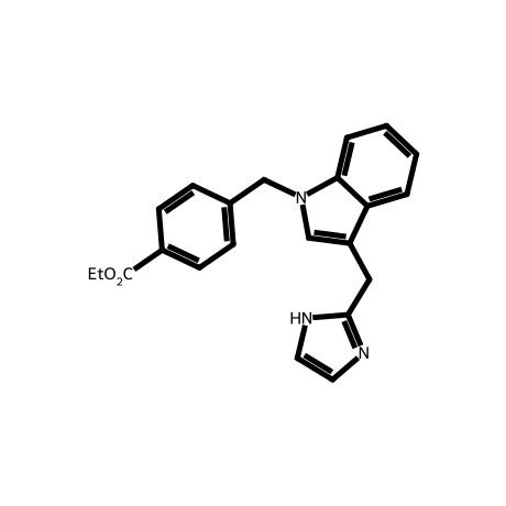 CCOC(=O)c1ccc(Cn2cc(Cc3ncc[nH]3)c3ccccc32)cc1